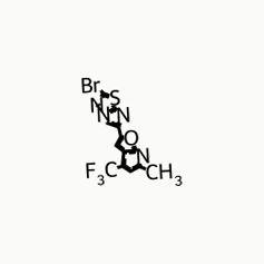 Cc1cc(C(F)(F)F)c2cc(-c3cn4nc(Br)sc4n3)oc2n1